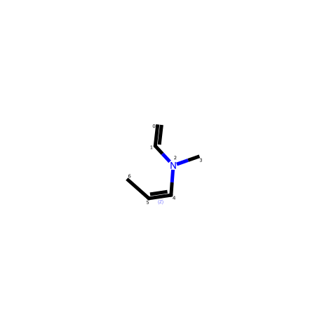 C=CN(C)/C=C\C